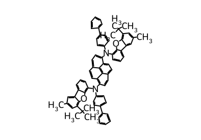 Cc1cc(C(C)(C)C)c2oc3c(N(c4ccc(-c5ccccc5)cc4)c4ccc5ccc6c(N(c7ccc(-c8ccccc8)cc7)c7cccc8c7oc7c(C(C)(C)C)cc(C)cc78)ccc7ccc4c5c76)cccc3c2c1